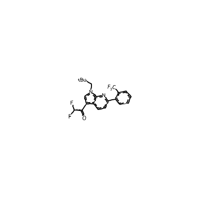 CC(C)(C)Cn1cc(C(=O)C(F)F)c2ccc(-c3ccccc3C(F)(F)F)nc21